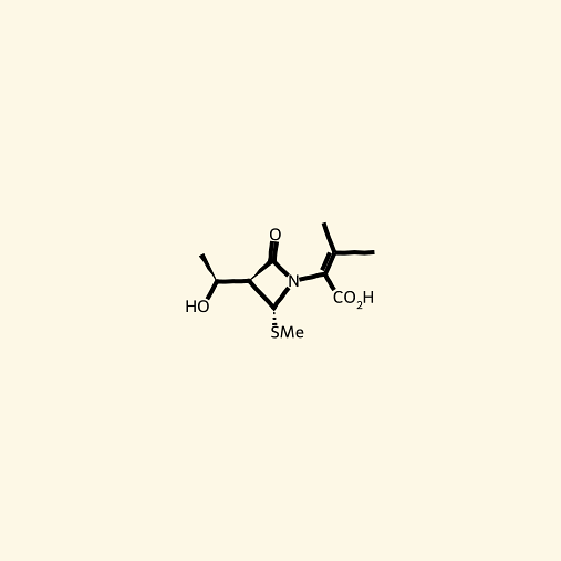 CS[C@@H]1[C@@H]([C@H](C)O)C(=O)N1C(C(=O)O)=C(C)C